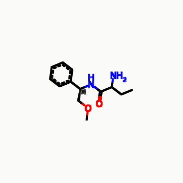 CCC(N)C(=O)N[C@@H](COC)c1ccccc1